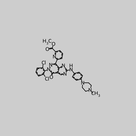 COC(=O)c1cccc(-c2nn(-c3c(Cl)cccc3Cl)c(=O)c3cnc(Nc4ccc(N5CCN(C)CC5)cc4)nc23)n1